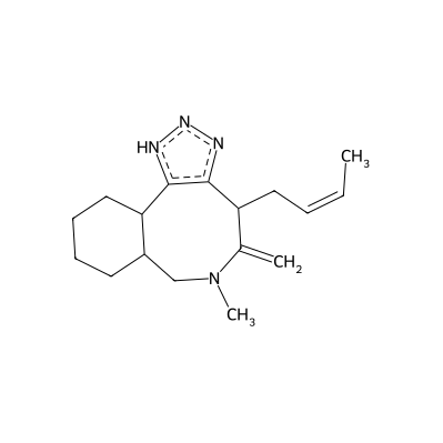 C=C1C(C/C=C\C)c2nn[nH]c2C2CCCCC2CN1C